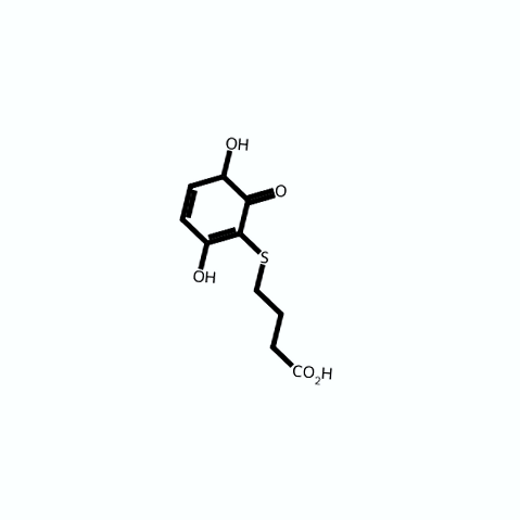 O=C(O)CCCSC1=C(O)C=CC(O)C1=O